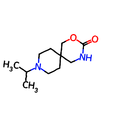 CC(C)N1CCC2(CC1)CNC(=O)OC2